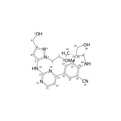 COCCn1nc(CO)cc1Nc1nccc(-c2cc(C#N)c3c(c2)[C@@](C)(CO)CN3)n1